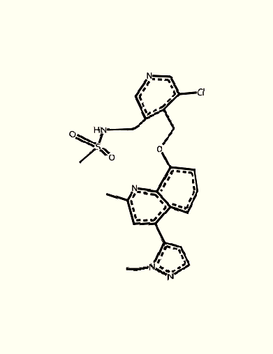 Cc1cc(-c2ccnn2C)c2cccc(OCc3c(Cl)cncc3CNS(C)(=O)=O)c2n1